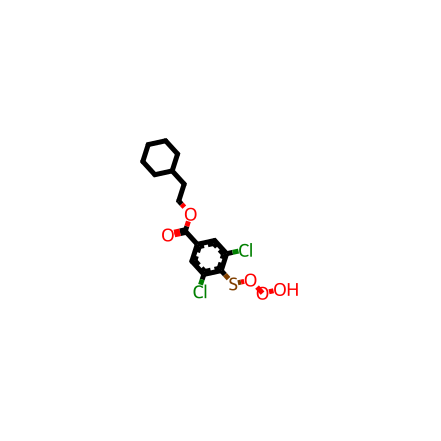 O=C(OCCC1CCCCC1)c1cc(Cl)c(SOOO)c(Cl)c1